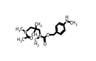 CNc1ccc(COC(=O)N(C)CC(C)(C)CN(C)C(C)=O)cc1